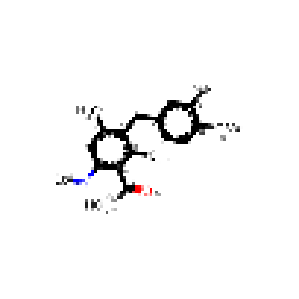 CCNc1cc(C)c(Cc2ccc(OC)c(C(C)C)c2)c(C)c1C(=O)C(=O)O